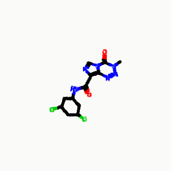 Cn1nnc2c(C(=O)NC3CC(Cl)CC(Cl)C3)ncn2c1=O